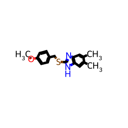 COc1ccc(CSc2nc3cc(C)c(C)cc3[nH]2)cc1